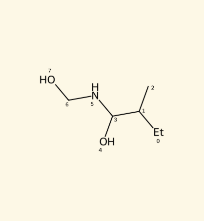 CCC(C)C(O)NCO